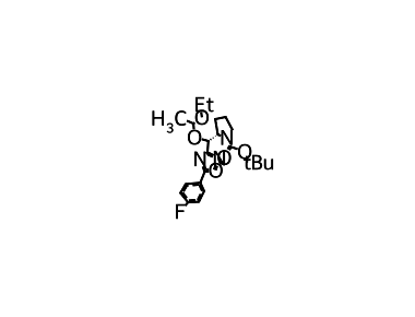 CCOC(C)OC(c1noc(-c2ccc(F)cc2)n1)[C@@H]1CCCN1C(=O)OC(C)(C)C